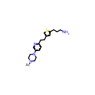 CC(=O)N1CCN(c2ccc(CCc3csc(CCCN)c3)nc2)CC1